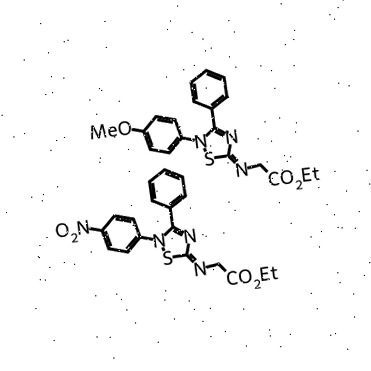 CCOC(=O)C/N=c1\nc(-c2ccccc2)n(-c2ccc(OC)cc2)s1.CCOC(=O)C/N=c1\nc(-c2ccccc2)n(-c2ccc([N+](=O)[O-])cc2)s1